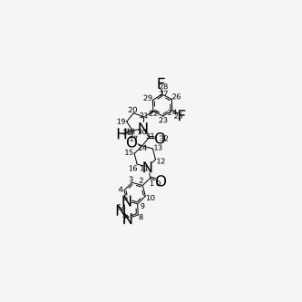 O=C(c1ccn2nncc2c1)N1CCC2(CC1)O[C@@H]1CC[C@@H](c3cc(F)cc(F)c3)N1C2=O